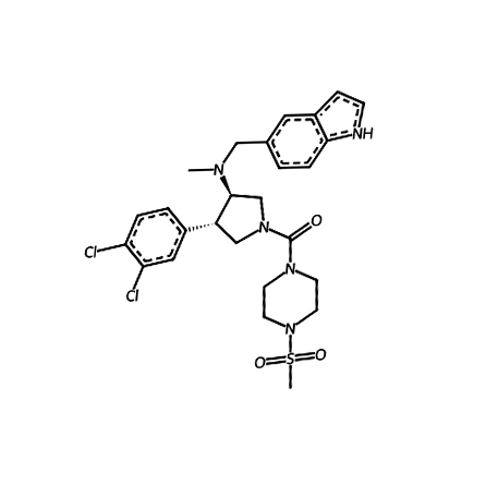 CN(Cc1ccc2[nH]ccc2c1)[C@H]1CN(C(=O)N2CCN(S(C)(=O)=O)CC2)C[C@@H]1c1ccc(Cl)c(Cl)c1